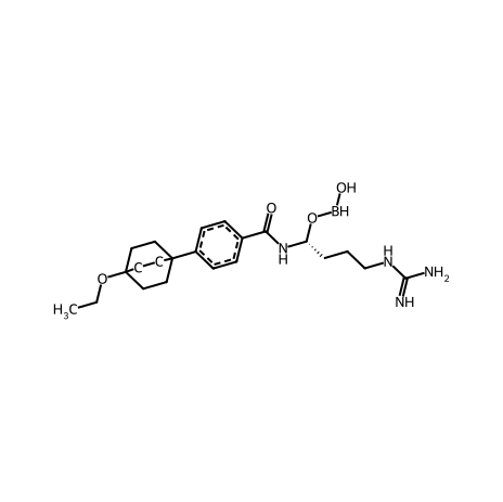 CCOC12CCC(c3ccc(C(=O)N[C@@H](CCCNC(=N)N)OBO)cc3)(CC1)CC2